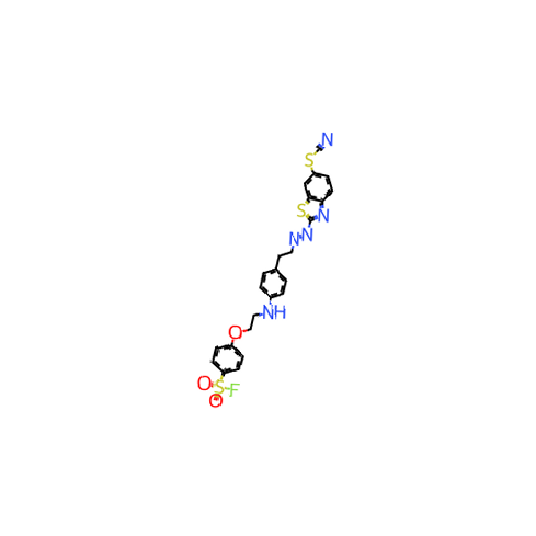 N#CSc1ccc2nc(N=NCCc3ccc(NCCOc4ccc(S(=O)(=O)F)cc4)cc3)sc2c1